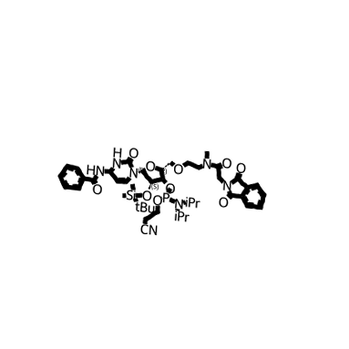 CC(C)N(C(C)C)P(OCCC#N)OC1[C@@H](COCCN(C)C(=O)CN2C(=O)c3ccccc3C2=O)O[C@@H](N2C=CC(NC(=O)c3ccccc3)NC2=O)[C@H]1O[Si](C)(C)C(C)(C)C